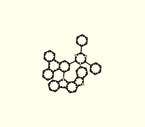 c1ccc(-c2nc(-c3ccccc3)nc(-c3cc(-n4c5ccccc5c5ccc6sc7ccccc7c6c54)c4c5ccccc5c5ccccc5c4c3)n2)cc1